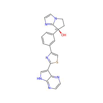 O[C@]1(c2cccc(-c3csc(-c4c[nH]c5nccnc45)n3)c2)CCn2ccnc21